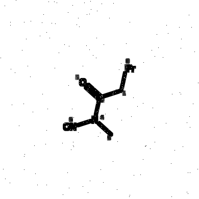 CC(C)CC(=O)N(C)N=O